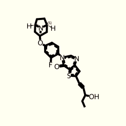 CCC(O)C#Cc1cc2ncn(-c3ccc(OC4C[C@H]5CC[C@@H](C4)N5C)cc3F)c(=O)c2s1